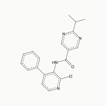 CC(C)c1ncc(C(=O)Nc2c(-c3ccccc3)ccnc2Cl)cn1